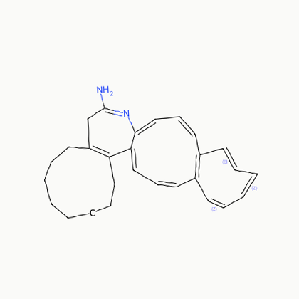 NC1=Nc2cccc3c(cccc2C2=C(CCCCCCCC2)C1)\C=C/C=C\C=C\3